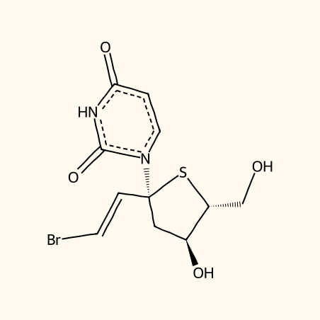 O=c1ccn([C@@]2(C=CBr)C[C@H](O)[C@@H](CO)S2)c(=O)[nH]1